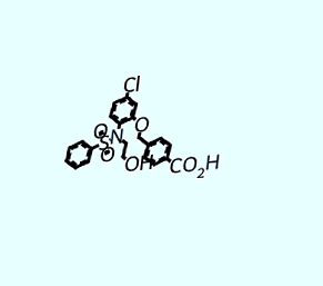 O=C(O)c1ccc(COc2cc(Cl)ccc2N(CCO)S(=O)(=O)c2ccccc2)cc1